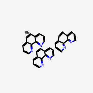 [Rh].c1cnc2c(c1)ccc1cccnc12.c1cnc2c(c1)ccc1cccnc12.c1cnc2c(c1)ccc1cccnc12